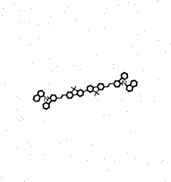 CC1(C)c2cc(/C=C/c3ccc4c(c3)c3ccccc3n4-c3cccc4ccccc34)ccc2-c2ccc(-c3ccc4c(c3)C(C)(C)c3cc(/C=C/c5ccc6c(c5)c5ccccc5n6-c5cccc6ccccc56)ccc3-4)cc21